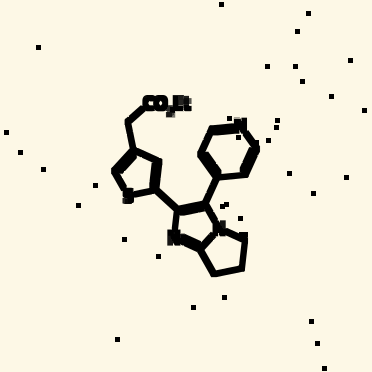 CCOC(=O)Cc1csc(-c2nc3n(c2-c2ccncc2)CCC3)c1